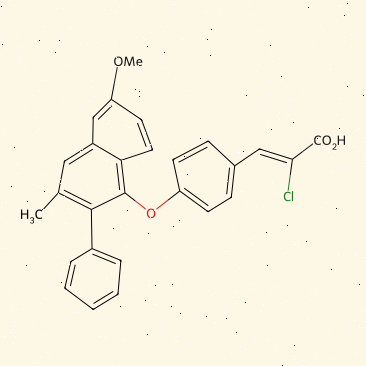 COc1ccc2c(Oc3ccc(C=C(Cl)C(=O)O)cc3)c(-c3ccccc3)c(C)cc2c1